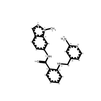 Cn1ncc2ccc(NC(=O)c3ccccc3NCc3ccnc(N)c3)cc21